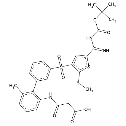 CSc1sc(C(=N)NC(=O)OC(C)(C)C)cc1S(=O)(=O)c1cccc(-c2c(C)cccc2NC(=O)CC(=O)O)c1